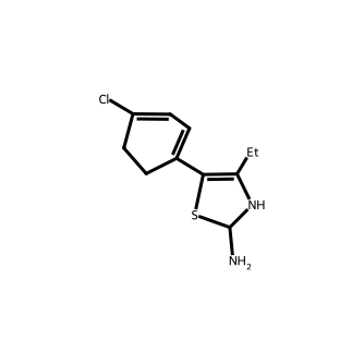 CCC1=C(C2=CC=C(Cl)CC2)SC(N)N1